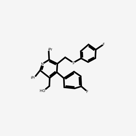 CC(C)c1nc(C(C)C)c(CSc2ccc(F)cc2)c(-c2ccc(F)cc2)c1CO